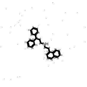 c1ccc(C(CCNCCc2cccc3ccccc23)c2ccccc2)cc1